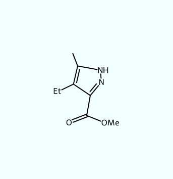 CCc1c(C(=O)OC)n[nH]c1C